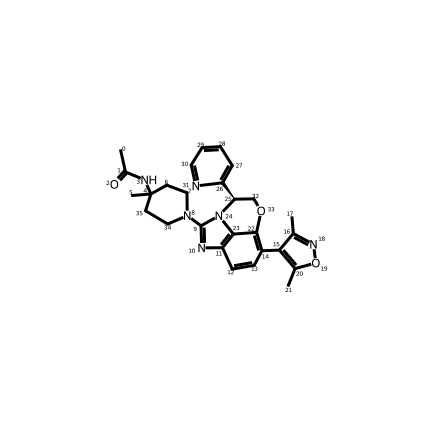 CC(=O)NC1(C)CCN(c2nc3ccc(-c4c(C)noc4C)c4c3n2[C@@H](c2ccccn2)CO4)CC1